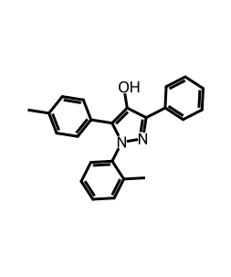 Cc1ccc(-c2c(O)c(-c3ccccc3)nn2-c2ccccc2C)cc1